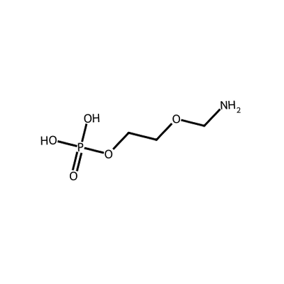 NCOCCOP(=O)(O)O